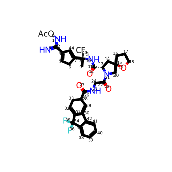 CC(=O)ONC(=N)C1=CCC([C@@](C)(NC(=O)[C@@H]2CC3(CCCO3)CN2C(=O)CNC(=O)C2C=C3C(=CC2)C(F)(F)c2ccccc23)C(F)(F)F)=C1